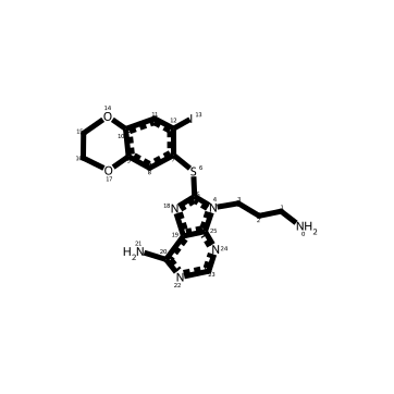 NCCCn1c(Sc2cc3c(cc2I)OCCO3)nc2c(N)ncnc21